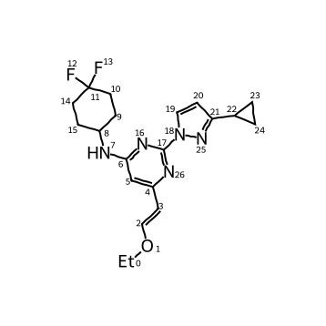 CCOC=Cc1cc(NC2CCC(F)(F)CC2)nc(-n2ccc(C3CC3)n2)n1